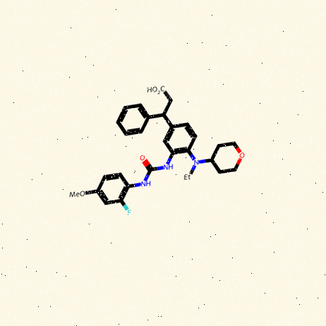 CCN(c1ccc(C(CC(=O)O)c2ccccc2)cc1NC(=O)Nc1ccc(OC)cc1F)C1CCOCC1